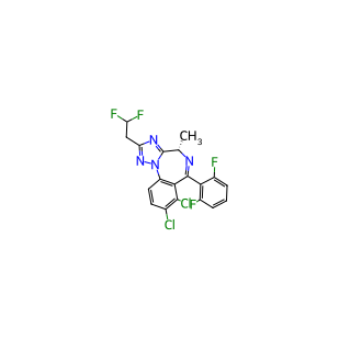 C[C@@H]1N=C(c2c(F)cccc2F)c2c(ccc(Cl)c2Cl)-n2nc(CC(F)F)nc21